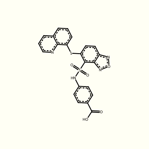 O=C(O)c1ccc(NS(=O)(=O)c2c(Sc3cccc4cccnc34)ccc3nonc23)cc1